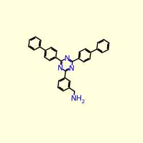 NCc1cccc(-c2nc(-c3ccc(-c4ccccc4)cc3)nc(-c3ccc(-c4ccccc4)cc3)n2)c1